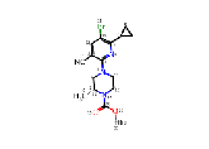 C[C@@H]1CN(c2nc(C3CC3)c(Br)cc2C#N)CCN1C(=O)OC(C)(C)C